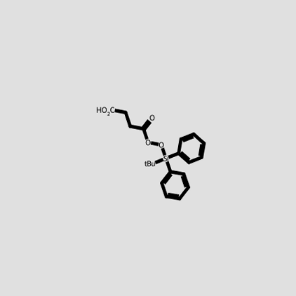 CC(C)(C)[Si](OOC(=O)CCC(=O)O)(c1ccccc1)c1ccccc1